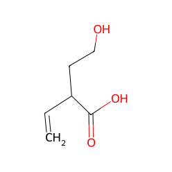 C=CC(CCO)C(=O)O